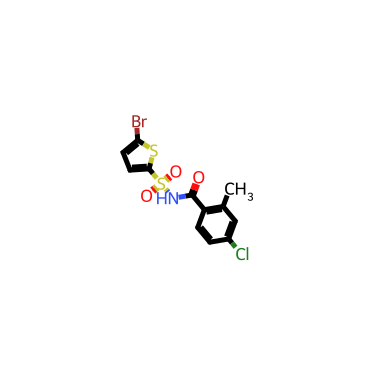 Cc1cc(Cl)ccc1C(=O)NS(=O)(=O)c1ccc(Br)s1